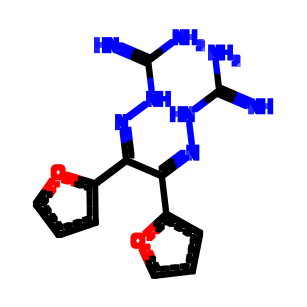 N=C(N)N/N=C(\C(=N/NC(=N)N)c1ccco1)c1ccco1